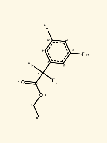 CCOC(=O)C(F)(F)c1cc(F)cc(F)c1